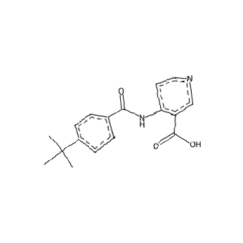 CC(C)(C)c1ccc(C(=O)Nc2ccncc2C(=O)O)cc1